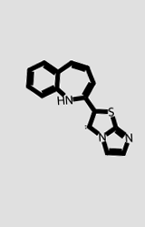 [C]1C(C2=CC=Cc3ccccc3N2)Sc2nccn21